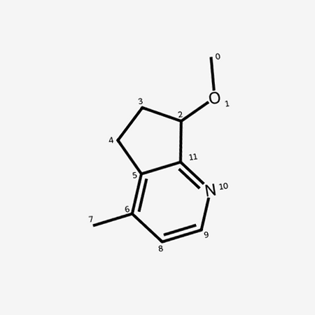 COC1CCc2c(C)ccnc21